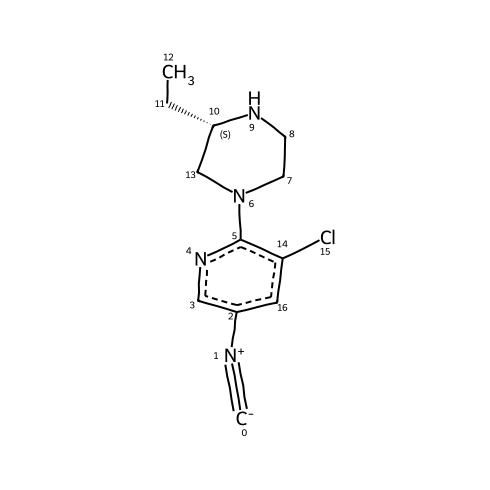 [C-]#[N+]c1cnc(N2CCN[C@@H](CC)C2)c(Cl)c1